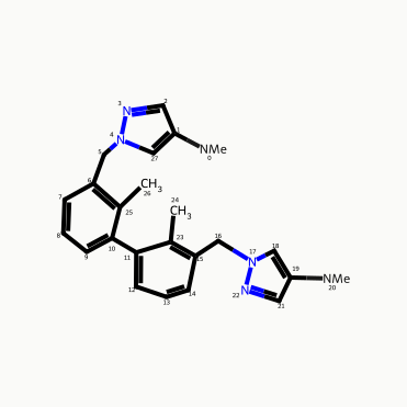 CNc1cnn(Cc2cccc(-c3cccc(Cn4cc(NC)cn4)c3C)c2C)c1